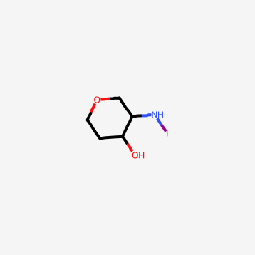 OC1CCOCC1NI